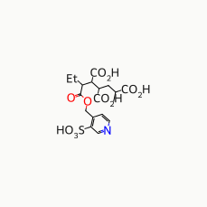 CCC(C(=O)OCc1ccncc1S(=O)(=O)O)C(C(=O)O)C(CC(C)C(=O)O)C(=O)O